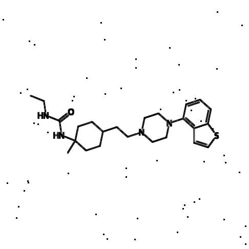 CCNC(=O)NC1(C)CCC(CCN2CCN(c3cccc4sccc34)CC2)CC1